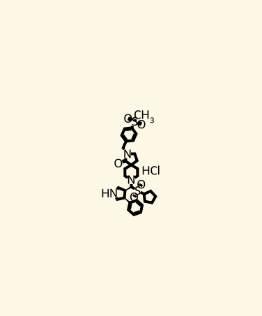 CS(=O)(=O)c1ccc(CN2CCC3(CCN(C([C@@H]4CNC[C@@H]4c4ccccc4)S(=O)(=O)C4CCCC4)CC3)C2=O)cc1.Cl